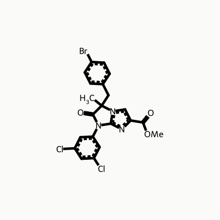 COC(=O)c1cn2c(n1)N(c1cc(Cl)cc(Cl)c1)C(=O)C2(C)Cc1ccc(Br)cc1